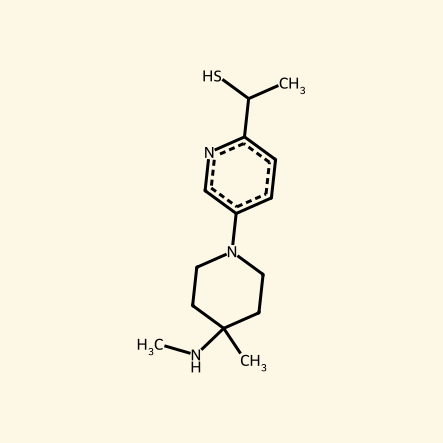 CNC1(C)CCN(c2ccc(C(C)S)nc2)CC1